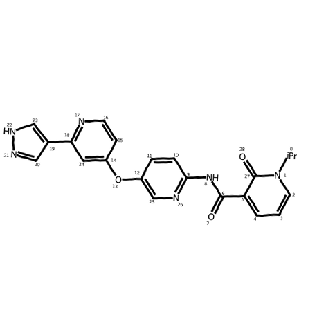 CC(C)n1cccc(C(=O)Nc2ccc(Oc3ccnc(-c4cn[nH]c4)c3)cn2)c1=O